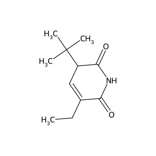 CCC1=CC(C(C)(C)C)C(=O)NC1=O